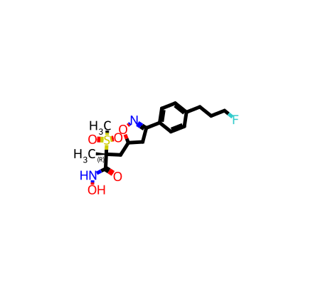 C[C@@](CC1CC(c2ccc(CCCF)cc2)=NO1)(C(=O)NO)S(C)(=O)=O